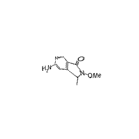 CON1C(=O)c2cnc(N)cc2C1C